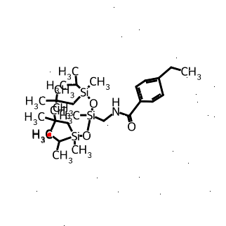 CCc1ccc(C(=O)NC[Si](C)(O[Si](C)(CC(C)(C)C)C(C)C)O[Si](C)(CC(C)(C)C)C(C)C)cc1